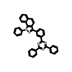 c1ccc(-c2nc(-c3ccccc3)nc(-c3cccc(-c4nn(-c5ccccc5)c5c4ccc4ccccc45)c3)n2)cc1